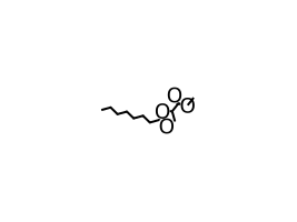 CCCCCCCC1OCC(C(=O)OC)O1